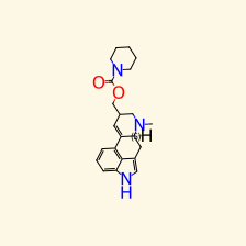 CN1CC(COC(=O)N2CCCCC2)C=C2c3cccc4[nH]cc(c34)C[C@@H]21